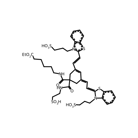 CCOC(=O)CCCCCNC(=O)C1(C(=O)NCCS(=O)(=O)O)CC(/C=C/c2sc3ccccc3[n+]2CCCS(=O)(=O)O)=CC(=C/C=C2\Sc3ccccc3N2CCCS(=O)(=O)O)/C1